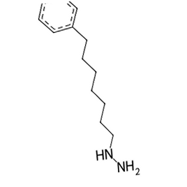 NNCCCCCCCc1ccccc1